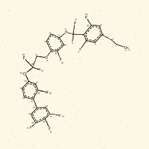 CCCc1cc(F)c(C(F)(F)Oc2ccc(OCC(F)(F)Oc3ccc(-c4cc(F)c(F)c(F)c4)c(F)c3)c(F)c2)c(F)c1